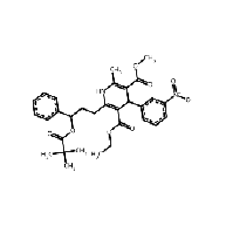 CCOC(=O)C1=C(CCC(OC(=O)C(C)(C)C)c2ccccc2)NC(C)=C(C(=O)OC)C1c1cccc([N+](=O)[O-])c1